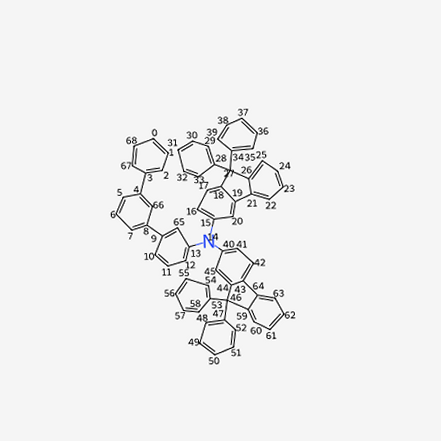 c1ccc(-c2cccc(-c3cccc(N(c4ccc5c(c4)-c4ccccc4C5(c4ccccc4)c4ccccc4)c4ccc5c(c4)C(c4ccccc4)(c4ccccc4)c4ccccc4-5)c3)c2)cc1